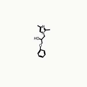 Cc1cn(CC(O)COc2ccccc2)c(C)n1